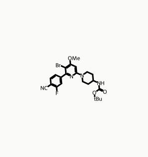 COc1cc(N2CCC(NC(=O)OC(C)(C)C)CC2)nc(-c2ccc(C#N)c(F)c2)c1Br